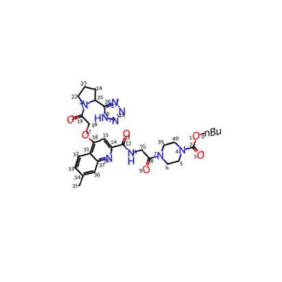 CCCCOC(=O)N1CCN(C(=O)CNC(=O)c2cc(OCC(=O)N3CCCC3c3nnn[nH]3)c3ccc(C)cc3n2)CC1